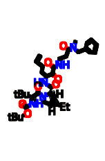 C=CCCC(NC(=O)[C@@H]1[C@H]2C(CC)[C@H]2CN1C(=O)[C@@H](NC(=O)OC(C)(C)C)C(C)(C)C)C(=O)C(=O)NCCC(=O)N(C)Cc1ccccc1